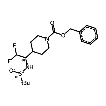 CC(C)(C)[S@+]([O-])N[C@@H](C(F)F)C1CCN(C(=O)OCc2ccccc2)CC1